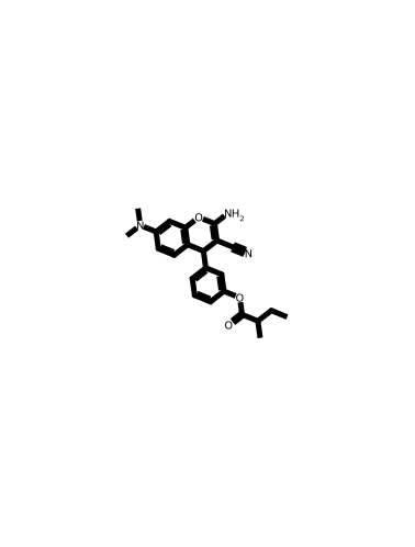 CCC(C)C(=O)Oc1cccc(C2C(C#N)=C(N)Oc3cc(N(C)C)ccc32)c1